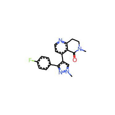 CN1CCc2nccc(-c3cn(C)nc3-c3ccc(F)cc3)c2C1=O